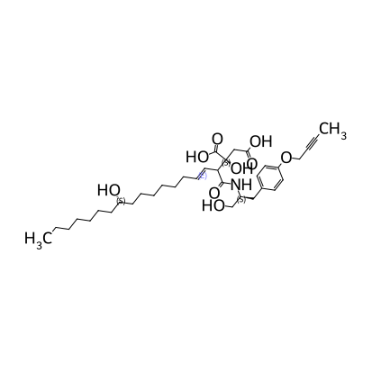 CC#CCOc1ccc(C[C@@H](CO)NC(=O)C(/C=C/CCCCCC[C@@H](O)CCCCCCC)[C@@](O)(CC(=O)O)C(=O)O)cc1